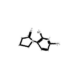 N#Cc1nc(N)ccc1N1CCCC1=O